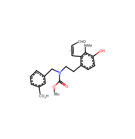 CNc1c(O)ccc(CCN(Cc2cccc(C(=O)O)c2)C(=O)OC(C)(C)C)c1/C=C\C=O